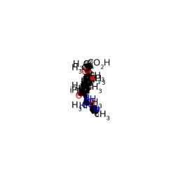 Cc1ccc(C(=O)NC(C)(C)CNCC[C@@]23CC[C@]4(C)[C@H](CC[C@@H]5[C@@]6(C)CC[C@H](OC(=O)[C@H]7C[C@@H](C(=O)O)C7(C)C)C(C)(C)[C@@H]6CC[C@]54C)C2=C(C(C)C)C(=O)C3)cn1